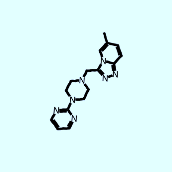 Cc1ccc2nnc(CN3CCN(c4ncccn4)CC3)n2c1